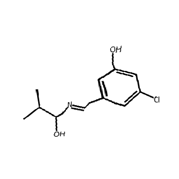 CC(C)C(O)/N=C/c1cc(O)cc(Cl)c1